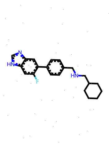 Fc1cc2[nH]cnc2cc1-c1ccc(CNCC2CCCCC2)cc1